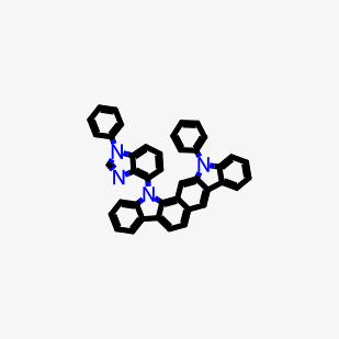 c1ccc(-n2cnc3c(-n4c5ccccc5c5ccc6cc7c8ccccc8n(-c8ccccc8)c7cc6c54)cccc32)cc1